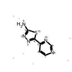 Nc1nnc(-c2ccncn2)s1